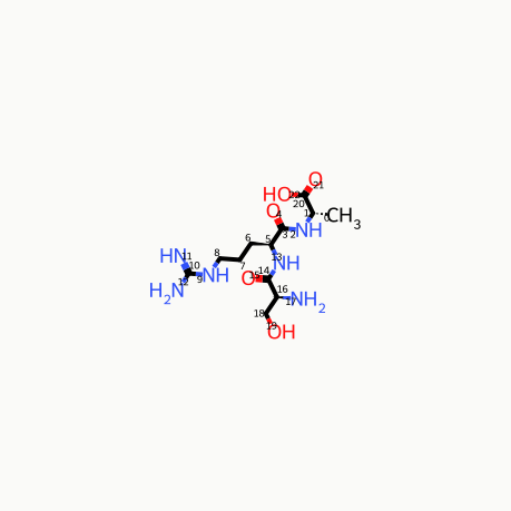 C[C@H](NC(=O)[C@H](CCCNC(=N)N)NC(=O)[C@@H](N)CO)C(=O)O